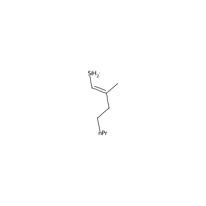 CCCCCC(C)=C[SiH2]